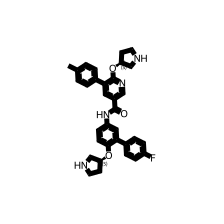 Cc1ccc(-c2cc(C(=O)Nc3ccc(O[C@H]4CCNC4)c(-c4ccc(F)cc4)c3)cnc2O[C@H]2CCNC2)cc1